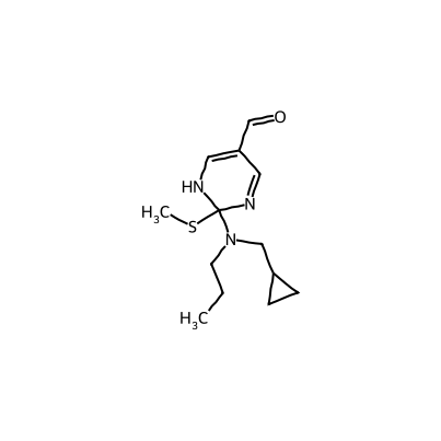 CCCN(CC1CC1)C1(SC)N=CC(C=O)=CN1